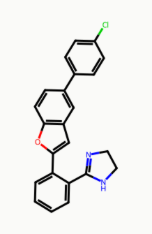 Clc1ccc(-c2ccc3oc(-c4ccccc4C4=NCCN4)cc3c2)cc1